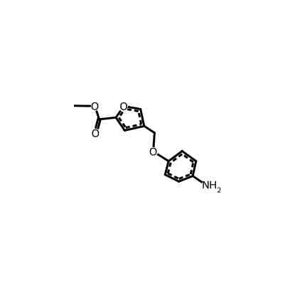 COC(=O)c1cc(COc2ccc(N)cc2)co1